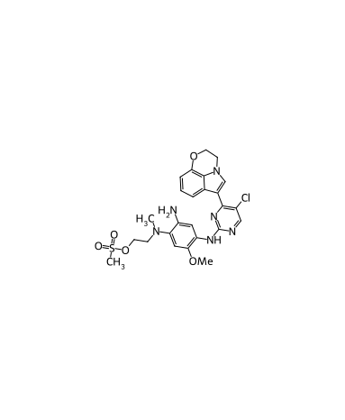 COc1cc(N(C)CCOS(C)(=O)=O)c(N)cc1Nc1ncc(Cl)c(-c2cn3c4c(cccc24)OCC3)n1